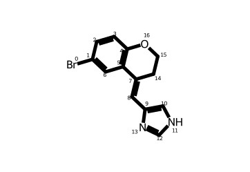 Brc1ccc2c(c1)/C(=C/c1c[nH]cn1)CCO2